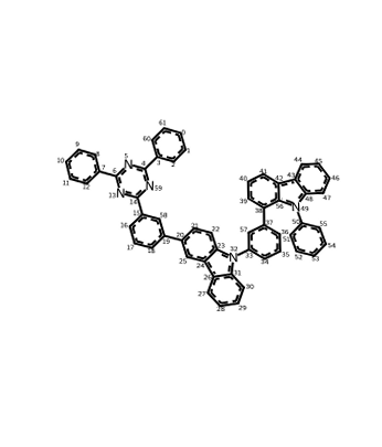 c1ccc(-c2nc(-c3ccccc3)nc(-c3cccc(-c4ccc5c(c4)c4ccccc4n5-c4cccc(-c5cccc6c7ccccc7n(-c7ccccc7)c56)c4)c3)n2)cc1